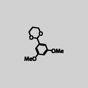 COc1cc(OC)cc(C2OCCCO2)c1